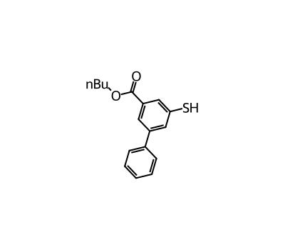 CCCCOC(=O)c1cc(S)cc(-c2ccccc2)c1